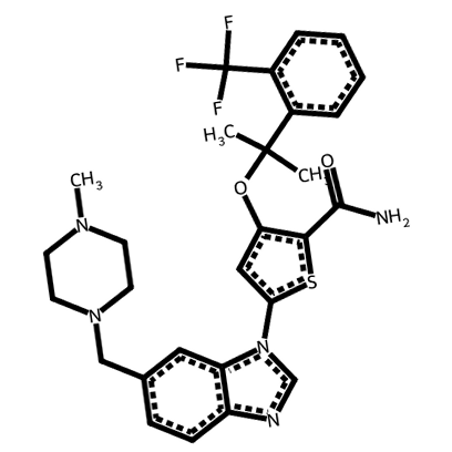 CN1CCN(Cc2ccc3ncn(-c4cc(OC(C)(C)c5ccccc5C(F)(F)F)c(C(N)=O)s4)c3c2)CC1